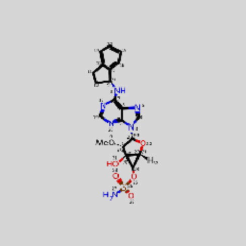 CO[C@@H]1[C@H](n2cnc3c(N[C@H]4CCc5ccccc54)ncnc32)O[C@@H]2C(OS(N)(=O)=O)[C@@]21O